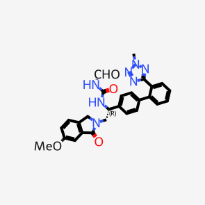 COc1ccc2c(c1)C(=O)N(C[C@H](NC(=O)NC=O)c1ccc(-c3ccccc3-c3nnn(C)n3)cc1)C2